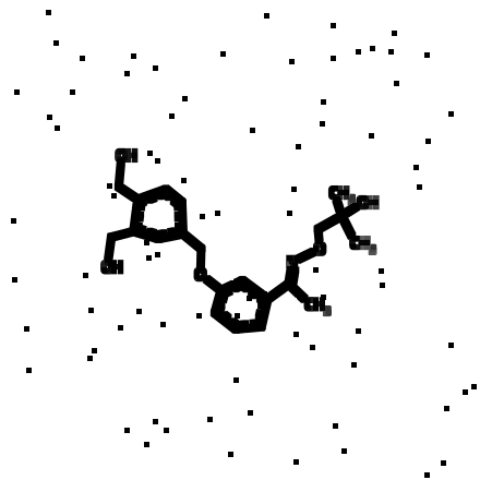 CC(=NOCC(C)(C)O)c1cccc(OCc2ccc(CO)c(CO)c2)c1